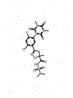 CN(C)S(=O)(=O)NC(=O)C1(C)CC(c2cc(-n3c(=O)n(C)c(=S)n(C)c3=O)c(F)cc2Cl)=NO1